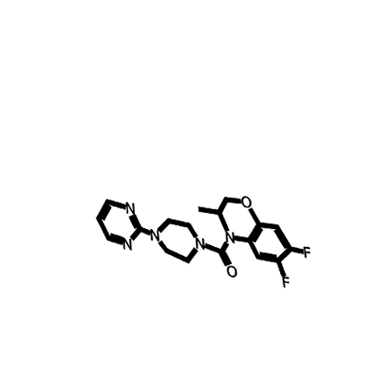 CC1COc2cc(F)c(F)cc2N1C(=O)N1CCN(c2ncccn2)CC1